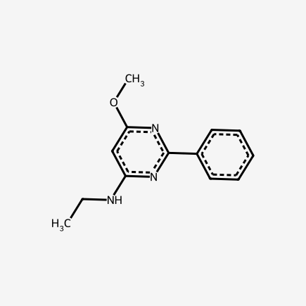 CCNc1cc(OC)nc(-c2ccccc2)n1